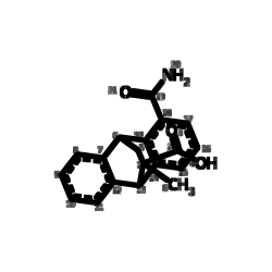 CC1(C(=O)O)CC2c3ccccc3C1c1cccc(C(N)=O)c12